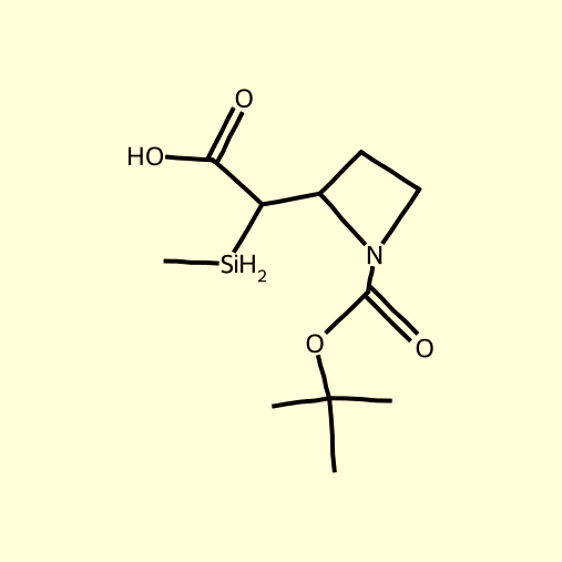 C[SiH2]C(C(=O)O)C1CCN1C(=O)OC(C)(C)C